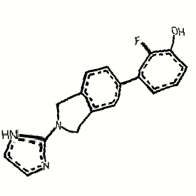 Oc1cccc(-c2ccc3c(c2)CN(c2ncc[nH]2)C3)c1F